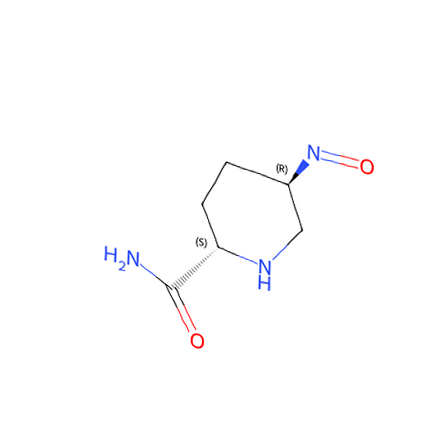 NC(=O)[C@@H]1CC[C@@H](N=O)CN1